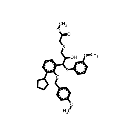 COC(=O)CSCC(O)C(Sc1cccc(OC)c1)c1cccc(C2CCCC2)c1OCc1ccc(OC)cc1